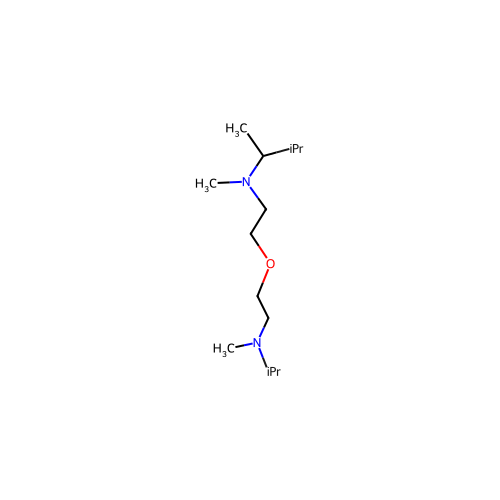 CC(C)C(C)N(C)CCOCCN(C)C(C)C